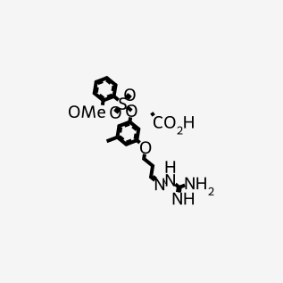 CC(=O)O.COc1ccccc1S(=O)(=O)Oc1cc(C)cc(OCC/C=N\NC(=N)N)c1